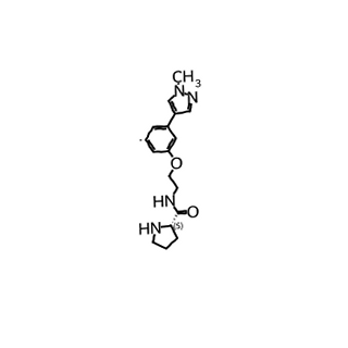 Cn1cc(-c2c[c]cc(OCCNC(=O)[C@@H]3CCCN3)c2)cn1